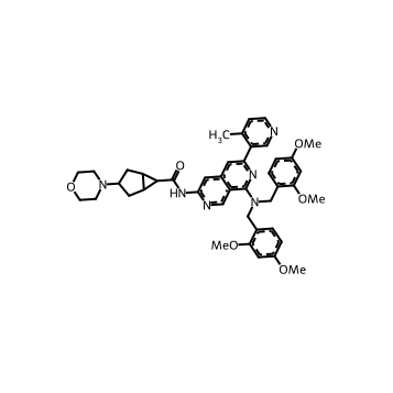 COc1ccc(CN(Cc2ccc(OC)cc2OC)c2nc(-c3cnccc3C)cc3cc(NC(=O)C4C5CC(N6CCOCC6)CC54)ncc23)c(OC)c1